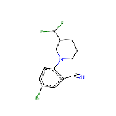 N#Cc1cc(Br)ccc1N1CCCC(C(F)F)C1